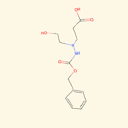 O=C(O)CCN(CCO)NC(=O)OCc1ccccc1